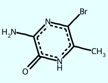 Cc1[nH]c(=O)c(N)nc1Br